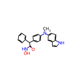 CN(c1ccc(C(C(=O)NO)c2ccccc2)cc1)c1ccc2[nH]ccc2c1